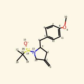 C=C1CC(Cc2ccc(OC)cc2)N([S@@+]([O-])C(C)(C)C)C1